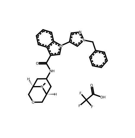 CN1[C@@H]2COC[C@H]1CC(NC(=O)c1cn(-c3cnn(Cc4ccccc4)c3)c3ccccc13)C2.O=C(O)C(F)(F)F